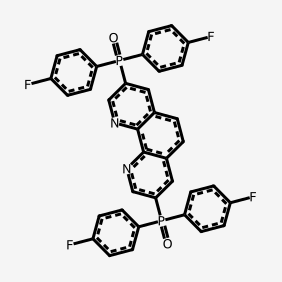 O=P(c1ccc(F)cc1)(c1ccc(F)cc1)c1cnc2c(ccc3cc(P(=O)(c4ccc(F)cc4)c4ccc(F)cc4)cnc32)c1